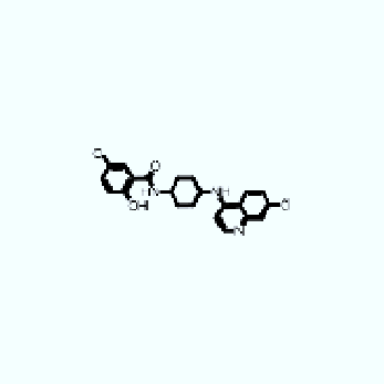 O=C(NC1CCC(Nc2ccnc3cc(Cl)ccc23)CC1)c1cc(Cl)ccc1O